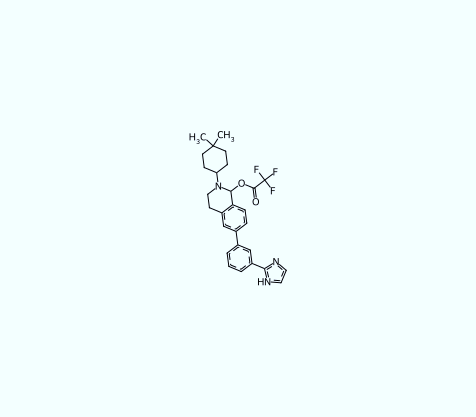 CC1(C)CCC(N2CCc3cc(-c4cccc(-c5ncc[nH]5)c4)ccc3C2OC(=O)C(F)(F)F)CC1